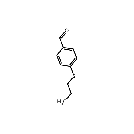 CCCSc1ccc(C=O)cc1